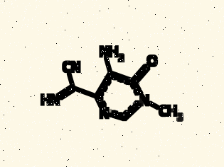 Cn1cnc(C(=N)C#N)c(N)c1=O